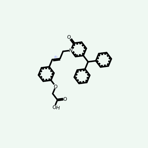 O=C(O)COc1cccc(/C=C/Cn2cc(C(c3ccccc3)c3ccccc3)ccc2=O)c1